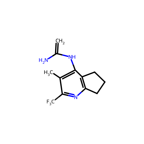 C=C(N)Nc1c(C)c(C(F)(F)F)nc2c1CCC2